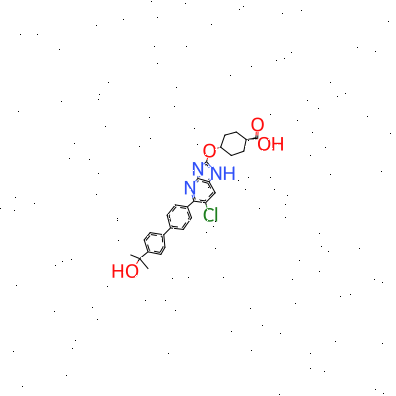 CC(C)(O)c1ccc(-c2ccc(-c3nc4nc(O[C@H]5CC[C@H](C(=O)O)CC5)[nH]c4cc3Cl)cc2)cc1